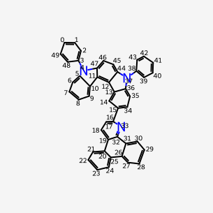 c1ccc(-n2c3ccccc3c3c4c5cc(-c6ccc7c8ccccc8c8ccccc8c7n6)ccc5n(-c5ccccc5)c4ccc32)cc1